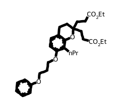 CCCc1c(OCCCOc2ccccc2)ccc2c1OC(CCC(=O)OCC)(CCC(=O)OCC)CC2